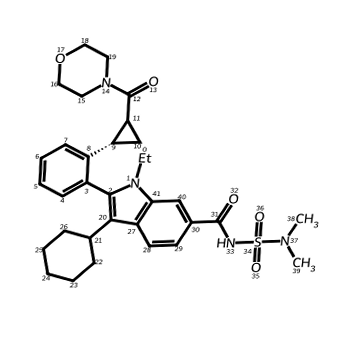 CCn1c(-c2ccccc2[C@H]2CC2C(=O)N2CCOCC2)c(C2CCCCC2)c2ccc(C(=O)NS(=O)(=O)N(C)C)cc21